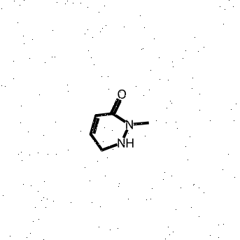 CN1NCC=CC1=O